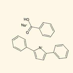 O=C(O)c1ccccc1.[Na+].c1ccc(-c2ccc(-c3ccccc3)[n-]2)cc1